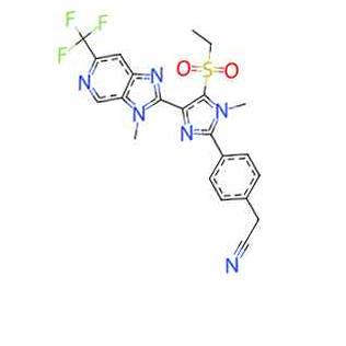 CCS(=O)(=O)c1c(-c2nc3cc(C(F)(F)F)ncc3n2C)nc(-c2ccc(CC#N)cc2)n1C